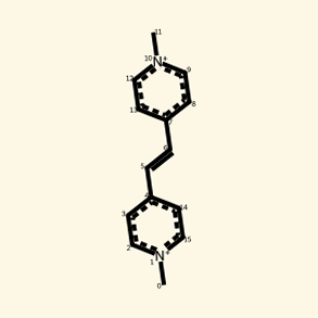 C[n+]1ccc(C=Cc2cc[n+](C)cc2)cc1